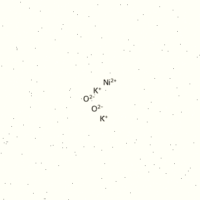 [K+].[K+].[Ni+2].[O-2].[O-2]